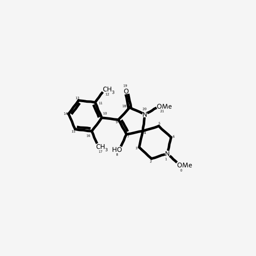 CON1CCC2(CC1)C(O)=C(c1c(C)cccc1C)C(=O)N2OC